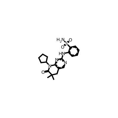 CC1(C)Cc2cnc(Nc3ccccc3S(N)(=O)=O)nc2N(C2CCCC2)C1=O